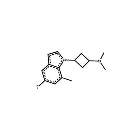 Cc1cc(F)cc2ccn(C3CC(N(C)C)C3)c12